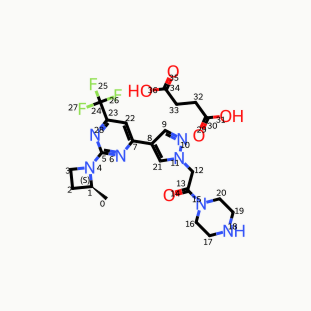 C[C@H]1CCN1c1nc(-c2cnn(CC(=O)N3CCNCC3)c2)cc(C(F)(F)F)n1.O=C(O)CCC(=O)O